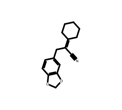 N#CC(Cc1ccc2c(c1)OCO2)=C1CCCCC1